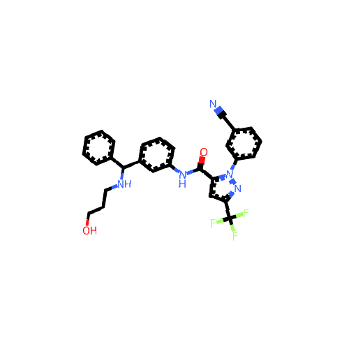 N#Cc1cccc(-n2nc(C(F)(F)F)cc2C(=O)Nc2cccc(C(NCCCO)c3ccccc3)c2)c1